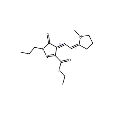 CCCN1N=C(C(=O)OCC)/C(=C\C=C2\CCCN2C)C1=O